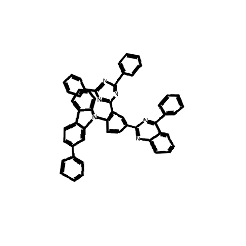 c1ccc(-c2ccc3c4ccccc4n(-c4ccc(-c5nc(-c6ccccc6)c6ccccc6n5)cc4-c4nc(-c5ccccc5)nc(-c5ccccc5)n4)c3c2)cc1